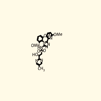 COc1cccc(-c2nnc(NS(=O)(=O)C[C@@H](O)c3ncc(C)cn3)n2-c2c(OC)cccc2OC)n1